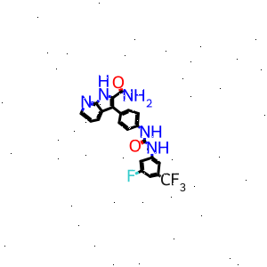 NC(=O)c1[nH]c2ncccc2c1-c1ccc(NC(=O)Nc2cc(F)cc(C(F)(F)F)c2)cc1